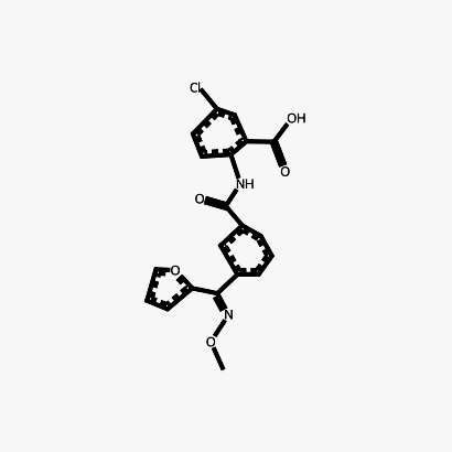 CON=C(c1cccc(C(=O)Nc2ccc(Cl)cc2C(=O)O)c1)c1ccco1